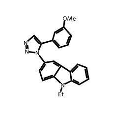 CCn1c2ccccc2c2cc(-n3nncc3-c3cccc(OC)c3)ccc21